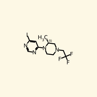 C[C@H]1CN(CC(F)(F)F)CCN1c1cc(I)ncn1